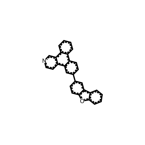 c1ccc2c(c1)oc1ccc(-c3ccc4c5ccccc5c5cnccc5c4c3)cc12